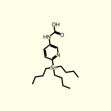 CCC[CH2][Sn]([CH2]CCC)([CH2]CCC)[c]1ccc(NC(=O)O)cn1